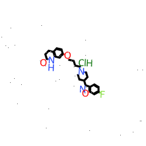 Cl.O=C1CCc2ccc(OCCCCN3CCC(c4noc5cc(F)ccc45)CC3)cc2N1